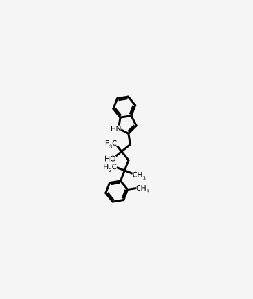 Cc1ccccc1C(C)(C)CC(O)(Cc1cc2ccccc2[nH]1)C(F)(F)F